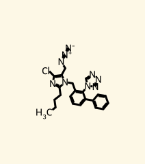 CCCCc1nc(Cl)c(CN=[N+]=[N-])n1Cc1cccc(-c2ccccc2)c1-n1cnnn1